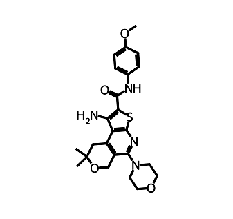 COc1ccc(NC(=O)c2sc3nc(N4CCOCC4)c4c(c3c2N)CC(C)(C)OC4)cc1